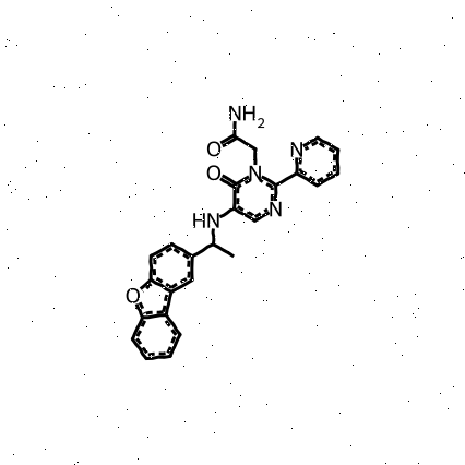 CC(Nc1cnc(-c2ccccn2)n(CC(N)=O)c1=O)c1ccc2oc3ccccc3c2c1